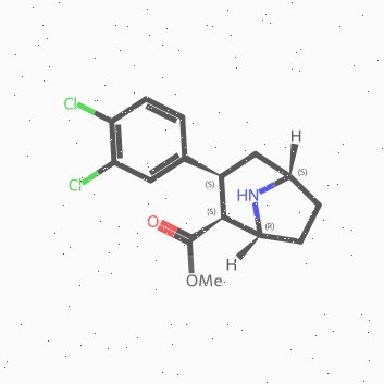 COC(=O)[C@H]1[C@@H](c2ccc(Cl)c(Cl)c2)C[C@@H]2CC[C@H]1N2